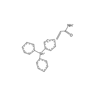 C=CC([NH-])=O.c1cc[c]([Sn+]([c]2ccccc2)[c]2ccccc2)cc1